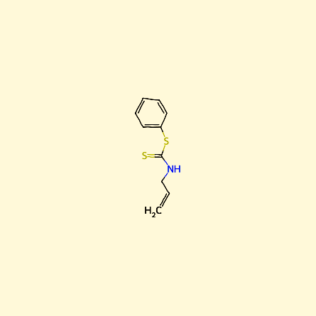 C=CCNC(=S)Sc1ccccc1